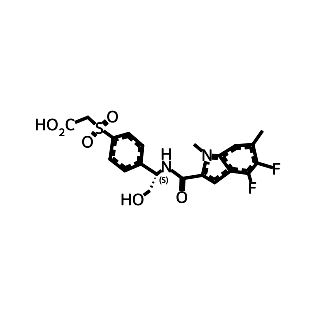 Cc1cc2c(cc(C(=O)N[C@H](CO)c3ccc(S(=O)(=O)CC(=O)O)cc3)n2C)c(F)c1F